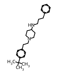 CC(C)(C)c1ccc(CCN2CCC(NCCCc3ccccc3)CC2)cc1